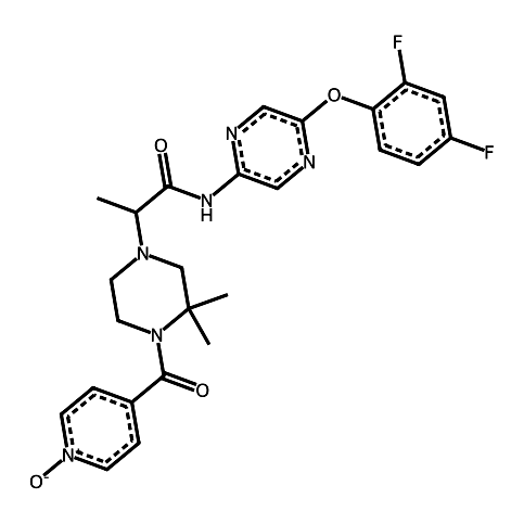 CC(C(=O)Nc1cnc(Oc2ccc(F)cc2F)cn1)N1CCN(C(=O)c2cc[n+]([O-])cc2)C(C)(C)C1